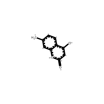 Cc1ccc2c(Cl)cc(=O)oc2c1